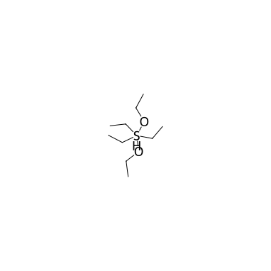 CCO[SH](CC)(CC)(CC)OCC